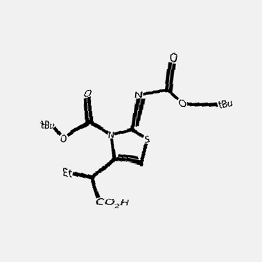 CCC(C(=O)O)c1csc(=NC(=O)OC(C)(C)C)n1C(=O)OC(C)(C)C